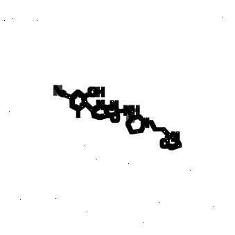 Cc1cc(C#N)cc(O)c1-c1ccc2oc(N[C@@H]3CCCN(CCCc4ncco4)C3)nc2n1